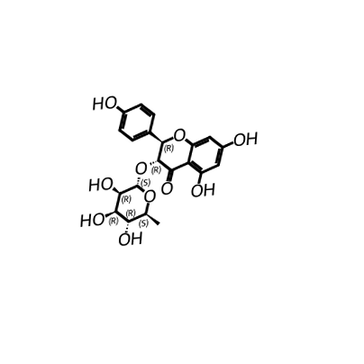 C[C@@H]1O[C@@H](O[C@H]2C(=O)c3c(O)cc(O)cc3O[C@@H]2c2ccc(O)cc2)[C@H](O)[C@H](O)[C@H]1O